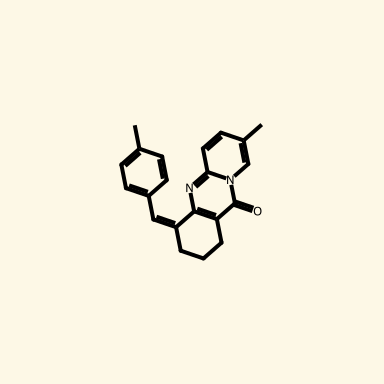 Cc1ccc(/C=C2/CCCc3c2nc2ccc(C)cn2c3=O)cc1